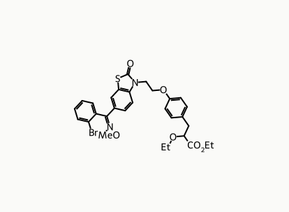 CCOC(=O)C(Cc1ccc(OCCn2c(=O)sc3cc(C(=NOC)c4ccccc4Br)ccc32)cc1)OCC